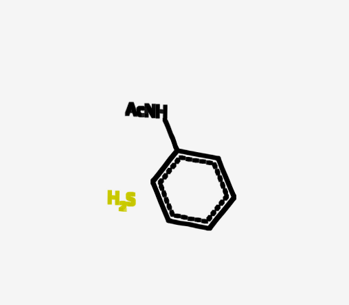 CC(=O)Nc1ccccc1.S